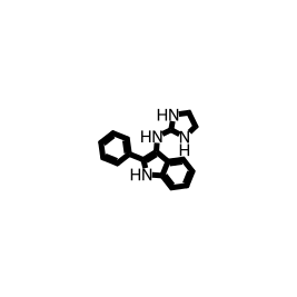 c1ccc(-c2[nH]c3ccccc3c2NC2NCCN2)cc1